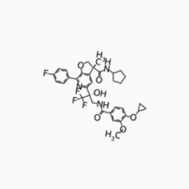 COc1cc(C(=O)NC[C@](O)(c2cc3c(c(-c4ccc(F)cc4)n2)OC[C@]3(C)C(=O)NC2CCCC2)C(F)(F)F)ccc1OC1CC1